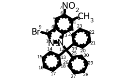 Cc1cc2c(cc1[N+](=O)[O-])c(Br)nn2C(c1ccccc1)(c1ccccc1)c1ccccc1